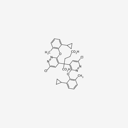 Cc1cccc(C2CC2)c1Oc1nnc(Cl)cc1C(CCC(=O)O)(C(=O)O)c1cc(Cl)nnc1Oc1c(C)cccc1C1CC1